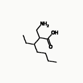 CCCCC(CC)C(CN)C(=O)O